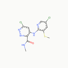 CNC(=O)c1nnc(Cl)cc1Nc1ncc(Cl)cc1SC